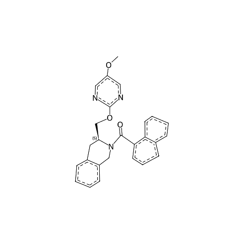 COc1cnc(OC[C@@H]2Cc3ccccc3CN2C(=O)c2cccc3ccccc23)nc1